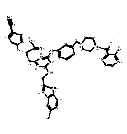 N#Cc1ccc(C[C@@H](Nc2nc(NCc3nc4cc(F)ccc4[nH]3)nc(Nc3cccc(CN4CCN(C(=O)c5nccnc5O)CC4)c3)n2)C(=O)O)cc1